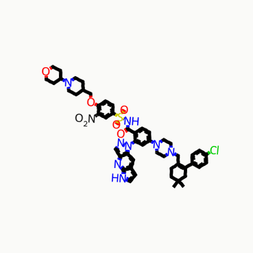 CC1(C)CCC(CN2CCN(c3ccc(C(=O)NS(=O)(=O)c4ccc(OCC5CCN(C6CCOCC6)CC5)c([N+](=O)[O-])c4)c(-n4ncc5nc6[nH]ccc6cc54)c3)CC2)=C(c2ccc(Cl)cc2)C1